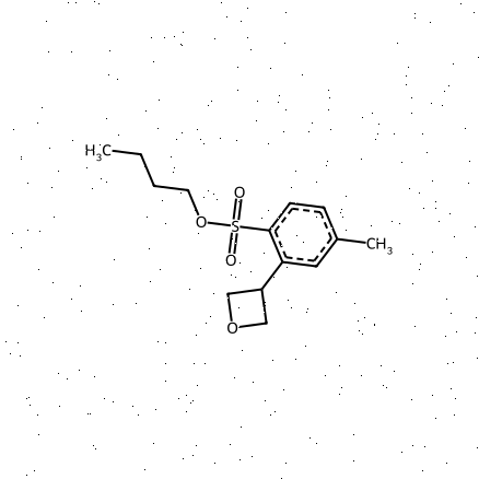 CCCCOS(=O)(=O)c1ccc(C)cc1C1COC1